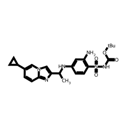 CC(Nc1ccc(S(=O)(=O)NC(=O)OC(C)(C)C)c(N)c1)c1cn2cc(C3CC3)ccc2n1